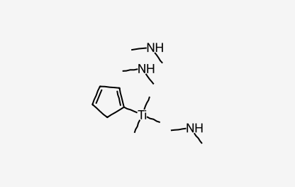 CNC.CNC.CNC.[CH3][Ti]([CH3])([CH3])[C]1=CC=CC1